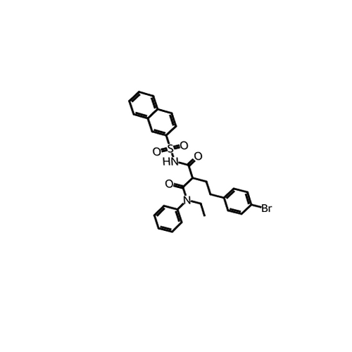 CCN(C(=O)C(CCc1ccc(Br)cc1)C(=O)NS(=O)(=O)c1ccc2ccccc2c1)c1ccccc1